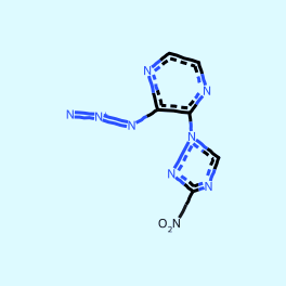 [N-]=[N+]=Nc1nccnc1-n1cnc([N+](=O)[O-])n1